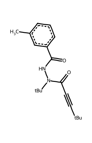 Cc1cccc(C(=O)NN(C(=O)C#CC(C)(C)C)C(C)(C)C)c1